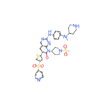 CN(c1ccc(Nc2ncc3cc(-c4cc(S(=O)(=O)c5ccncc5)cs4)c(=O)n(C4CCN(S(C)(=O)=O)CC4)c3n2)cc1)C1CCNCC1